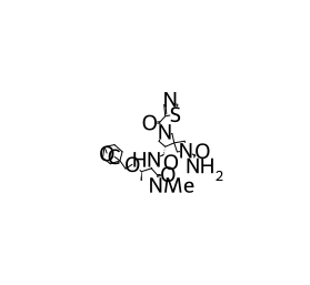 CNC(=O)[C@H](NC(=O)[C@@H]1CN(C(=O)c2cncs2)CC12CN(C(N)=O)C2)[C@@H](C)OCC12CCC(CC1)OC2